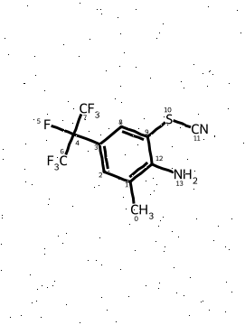 Cc1cc(C(F)(C(F)(F)F)C(F)(F)F)cc(SC#N)c1N